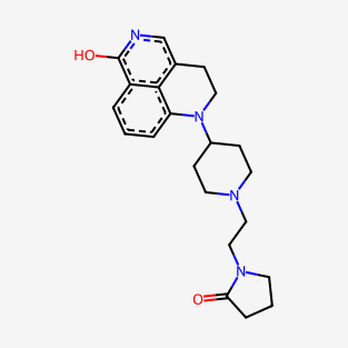 O=C1CCCN1CCN1CCC(N2CCc3cnc(O)c4cccc2c34)CC1